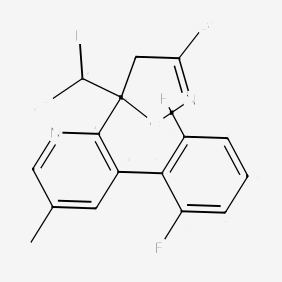 Cc1cnc(C2(C(F)F)CC(Br)=NO2)c(-c2c(F)cccc2F)c1